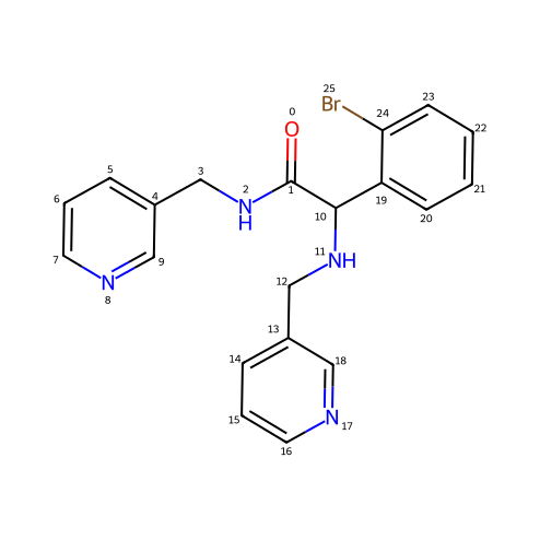 O=C(NCc1cccnc1)C(NCc1cccnc1)c1ccccc1Br